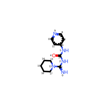 N=C(NC(=O)Nc1ccncc1)N1CCCCC1